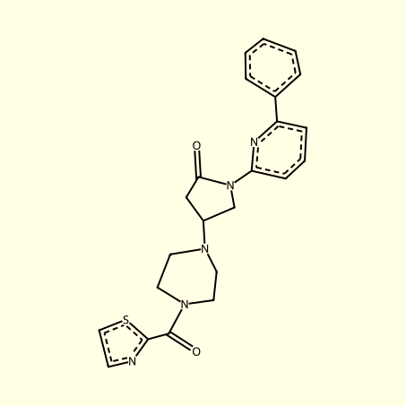 O=C(c1nccs1)N1CCN(C2CC(=O)N(c3cccc(-c4ccccc4)n3)C2)CC1